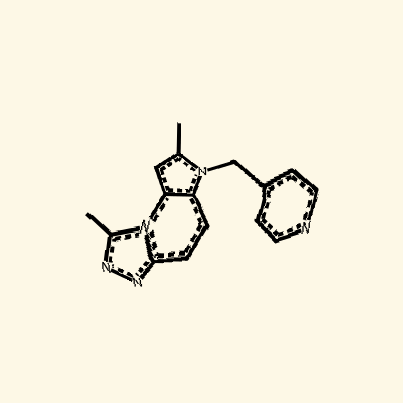 Cc1cc2c(ccc3nnc(C)n32)n1Cc1ccncc1